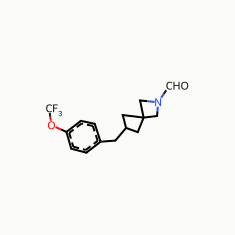 O=CN1CC2(CC(Cc3ccc(OC(F)(F)F)cc3)C2)C1